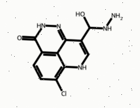 NNC(O)C1=CNc2c(Cl)ccc3c(=O)[nH]nc1c23